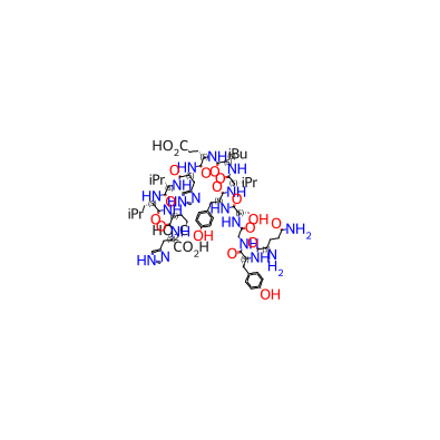 CC[C@H](C)[C@H](NC(=O)[C@@H](NC(=O)[C@H](Cc1ccc(O)cc1)NC(=O)[C@H](CO)NC(=O)CNC(=O)[C@H](Cc1ccc(O)cc1)NC(=O)[C@@H](N)CCC(N)=O)C(C)C)C(=O)N[C@@H](CCC(=O)O)C(=O)N[C@@H](Cc1c[nH]cn1)C(=O)N[C@H](C(=O)N[C@@H](CC(C)C)C(=O)N[C@@H](CCC(=O)O)C(=O)N[C@@H](Cc1c[nH]cn1)C(=O)O)C(C)C